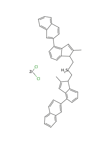 CC1=Cc2c(-c3ccc4ccccc4c3)cccc2C1C[SiH2]CC1C(C)=Cc2c(-c3ccc4ccccc4c3)cccc21.[Cl][Zr][Cl]